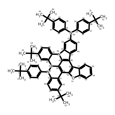 CC(C)(C)c1ccc(N2B3c4cc(C(C)(C)C)ccc4-n4c5cc(N(c6ccc(C(C)(C)C)cc6)c6ccc(C(C)(C)C)cc6)ccc5c5c6c(oc7ccccc76)c(c3c54)-c3cc(C(C)(C)C)ccc32)cc1